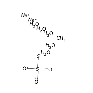 C.O.O.O.O.O.O=S(=O)([O-])[S-].[Na+].[Na+]